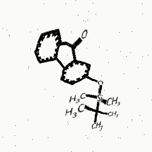 CC(C)(C)[Si](C)(C)Oc1ccc2c(c1)C(=O)c1ccccc1-2